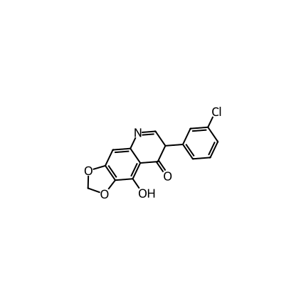 O=C1c2c(cc3c(c2O)OCO3)N=CC1c1cccc(Cl)c1